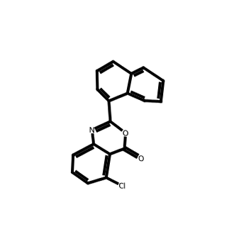 O=c1oc(-c2cccc3ccccc23)nc2cccc(Cl)c12